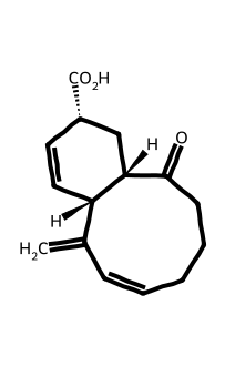 C=C1/C=C\CCCC(=O)[C@H]2C[C@@H](C(=O)O)C=C[C@@H]12